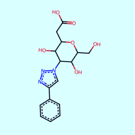 O=C(O)CC1OC(CO)C(O)C(n2cc(-c3ccccc3)nn2)C1O